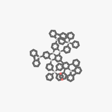 c1ccc(-c2cc(-c3cc4c5c(c3)N(c3cccc([Si](c6ccccc6)(c6ccccc6)c6ccccc6)c3)c3cc(-n6c7ccccc7c7ccccc76)ccc3B5c3ccc(-n5c6ccccc6c6ccccc65)cc3N4c3cccc([Si](c4ccccc4)(c4ccccc4)c4ccccc4)c3)cc(-c3ccccc3)c2-n2c3ccccc3c3ccccc32)cc1